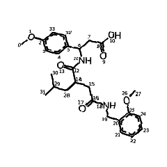 COc1ccc(C(CC(=O)O)NC(=O)C(CC(=O)NCc2ccccc2OC)CC(C)C)cc1